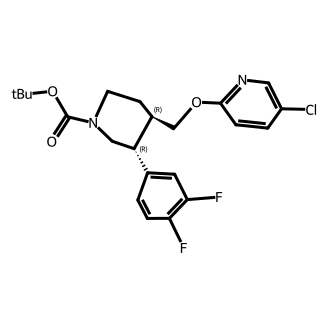 CC(C)(C)OC(=O)N1CC[C@@H](COc2ccc(Cl)cn2)[C@H](c2ccc(F)c(F)c2)C1